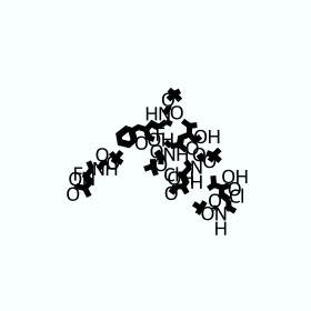 CC(=CC(C(=O)O)C(C)C)C(C)NC(=O)OC(C)(C)C.CC(C=C(Cl)C(C)NC(=O)OC(C)(C)C)C(=O)O.CC(C=C(F)C(C)NC(=O)OC(C)(C)C)C(=O)O.CC(NC(=O)OC(C)(C)C)C(Cl)=CC(C(=O)O)C(C)C.CC(NC(=O)OC(C)(C)C)C(F)=CC(Cc1ccccc1)C(=O)O